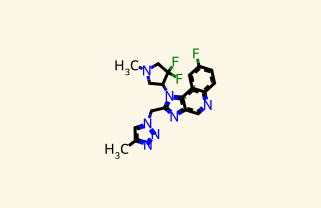 Cc1cn(Cc2nc3cnc4ccc(F)cc4c3n2C2CN(C)CC2(F)F)nn1